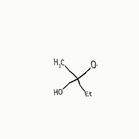 CCC(C)([O])O